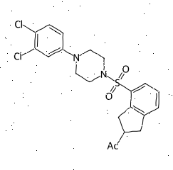 CC(=O)C1Cc2cccc(S(=O)(=O)N3CCN(c4ccc(Cl)c(Cl)c4)CC3)c2C1